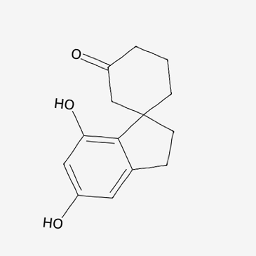 O=C1CCCC2(CCc3cc(O)cc(O)c32)C1